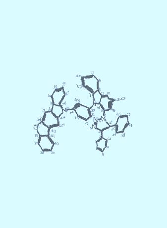 c1ccc(-c2nnn(-c3cccc4c5ccccc5n(-c5cccc(-n6c7ccccc7c7cc8oc9ccccc9c8cc76)c5)c34)c2-c2ccccc2)cc1